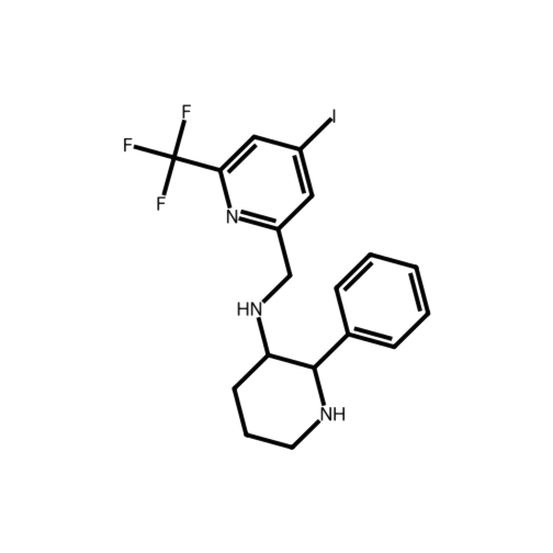 FC(F)(F)c1cc(I)cc(CNC2CCCNC2c2ccccc2)n1